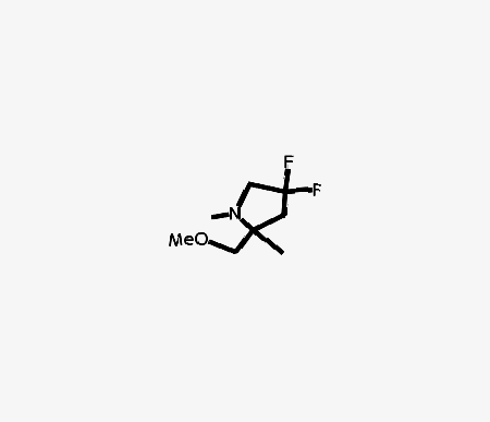 COCC1(C)CC(F)(F)CN1C